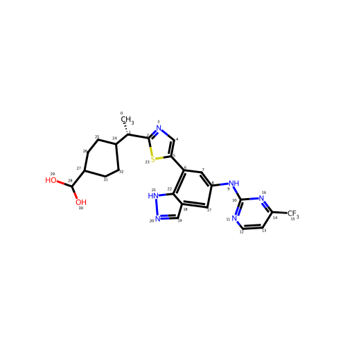 C[C@H](c1ncc(-c2cc(Nc3nccc(C(F)(F)F)n3)cc3cn[nH]c23)s1)C1CCC(C(O)O)CC1